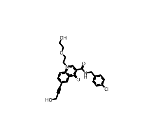 O=C(NCc1ccc(Cl)cc1)c1cn(CCOCCO)c2ccc(C#CCO)cc2c1=O